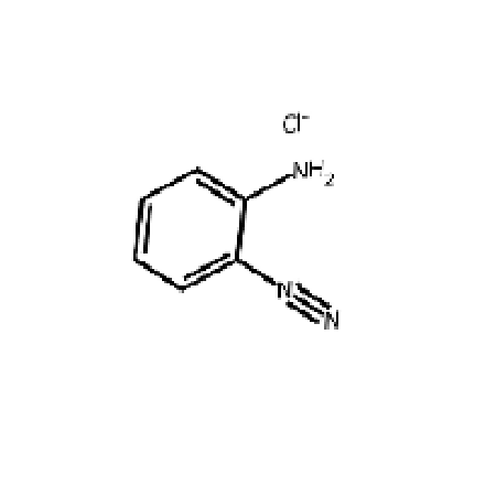 N#[N+]c1ccccc1N.[Cl-]